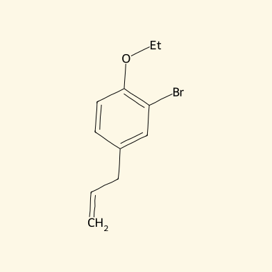 C=CCc1ccc(OCC)c(Br)c1